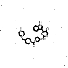 O=C(N1CCC(CN2CCNCC2)CC1)N1CC[C@@H](Nc2ncc(Cl)c(-c3c[nH]c4ccccc34)n2)C1